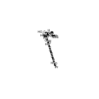 CN[C@@H](CC(C)C)C(=O)N1CCC[C@H]1C(=O)N[C@@H](CCC(=O)O)C(=O)N[C@H](C(=O)NCC(=O)NCC(=O)NCCOCCOCCOCCOCCOCCNC(=O)CCC(C)C)[C@@H](C)O